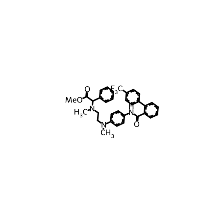 COC(=O)C(c1ccccc1)N(C)CCN(C)c1ccc(NC(=O)c2ccccc2-c2ccc(C(F)(F)F)cc2)cc1